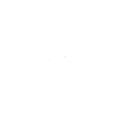 CC1=CNC(c2cc(-c3cc4c(c(S(C)(=O)=O)c3)C(=O)N(C(C)C3CC3)C4)ccn2)N1C1CCC1